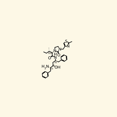 CC[C@H](C)[C@@H](C(=O)N[C@@H](Cc1ccccc1)C[C@H](O)[C@@H](N)Cc1ccccc1)N1CCN(Cc2csc(C)n2)C1=O